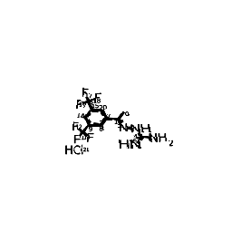 C/C(=N\NC(=N)N)c1cc(C(F)(F)F)cc(C(F)(F)F)c1.Cl